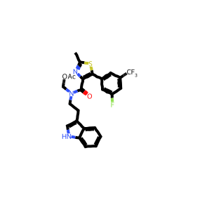 CC(=O)OCN(CCc1c[nH]c2ccccc12)C(=O)c1nc(C)sc1-c1cc(F)cc(C(F)(F)F)c1